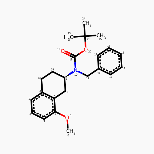 COc1cccc2c1C[C@H](N(Cc1ccccc1)C(=O)OC(C)(C)C)CC2